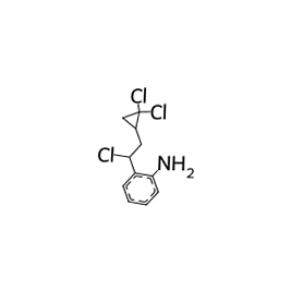 Nc1ccccc1C(Cl)CC1CC1(Cl)Cl